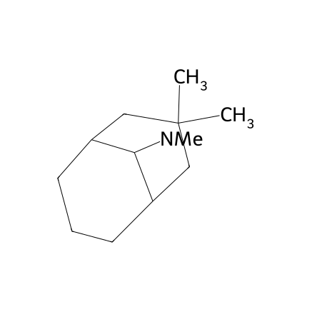 CNC1C2CCCC1CC(C)(C)C2